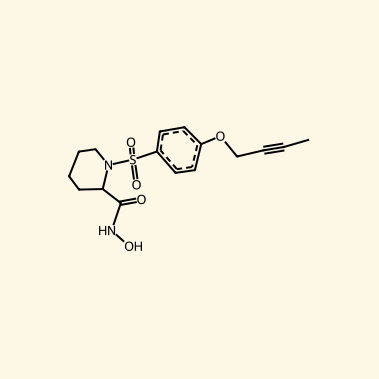 CC#CCOc1ccc(S(=O)(=O)N2CCCCC2C(=O)NO)cc1